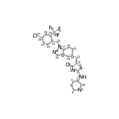 O=C1N=C(Nc2cccnc2)SC1=Cc1ccc2c(cnn2Cc2ccc(Cl)cc2C(F)(F)F)c1